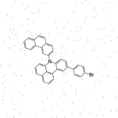 Brc1ccc(-c2ccc3c(c2)-c2cccc4cccc(c24)N3c2ccc3ccc4ccccc4c3c2)cc1